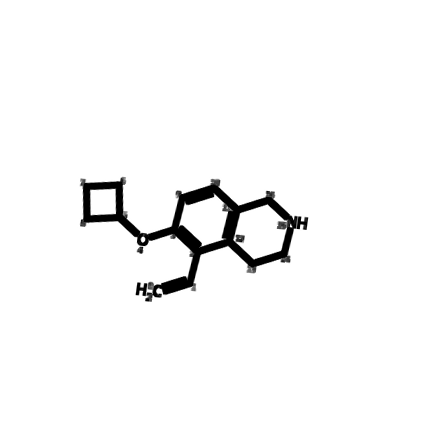 C=Cc1c(OC2CCC2)ccc2c1CCNC2